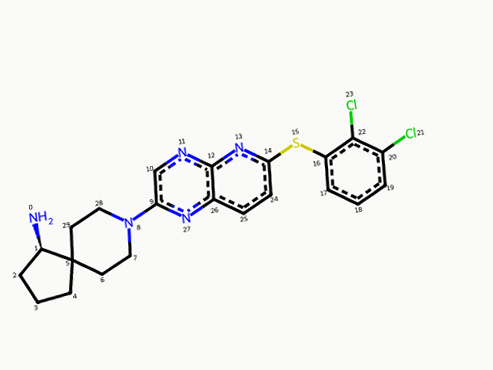 N[C@@H]1CCCC12CCN(c1cnc3nc(Sc4cccc(Cl)c4Cl)ccc3n1)CC2